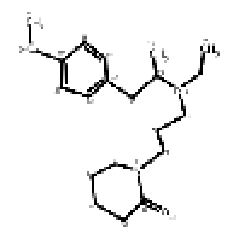 CCN(CCCN1CCCCC1=O)C(C)Cc1ccc(OC)cc1